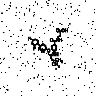 CC(C)CC(COc1ccc(-c2ccc(F)cc2F)nn1)Nc1ccc(C(=O)NCCC(=O)O)cc1